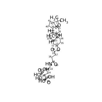 CC1(C)O[C@]23CC[C@H]4[C@@H](CC[C@H]5C[C@@H](OC(=O)CCC(=O)NCCCC(O)(P(=O)(O)O)P(=O)(O)O)CC[C@@]54C)C2CCC13